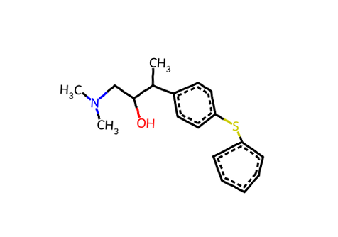 CC(c1ccc(Sc2ccccc2)cc1)C(O)CN(C)C